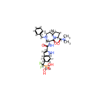 CN(C)C(=O)[C@@H]1CC[C@@H]2CCN(Cc3ccccc3)C[C@H](NC(=O)c3cc4cc(C(F)(F)P(=O)(O)O)ccc4[nH]3)C(=O)N21